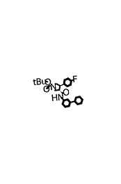 CC(C)(C)OC(=O)N1C[C@@H](C(=O)Nc2cccc(-c3ccccc3)c2)[C@H](c2ccc(F)cc2)C1